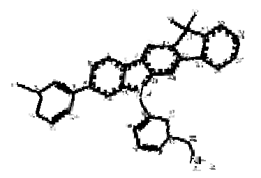 CC1C=C(c2ccc3c4cc5c(cc4n(C4=CC=CC(CN)C4)c3c2)-c2ccccc2C5(C)C)C=CC1